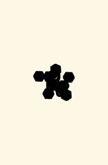 c1ccc(-c2cc(-c3nc(-c4ccccc4)nc(-c4cc(-c5ccccc5)cc5c4oc4ccccc45)n3)c3oc4ccccc4c3c2)cc1